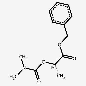 C[C@H](OC(=O)N(C)C)C(=O)OCc1ccccc1